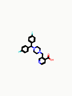 O=C(O)c1ccncc1CN1CCN(C(c2ccc(F)cc2)c2ccc(F)cc2)CC1